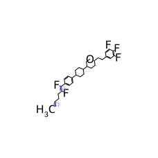 C/C=C/CC/C(F)=C(\F)c1ccc(C2CCC(C3CCC(CCc4cc(F)c(F)c(F)c4)OC3)CC2)cc1